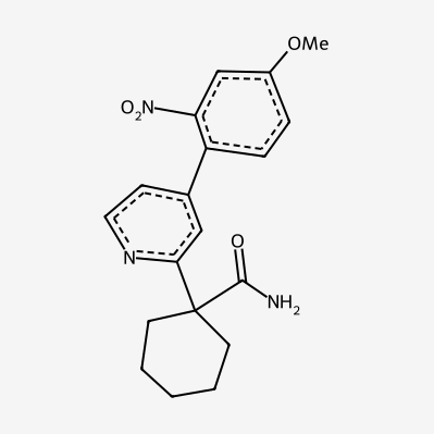 COc1ccc(-c2ccnc(C3(C(N)=O)CCCCC3)c2)c([N+](=O)[O-])c1